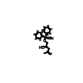 C=C(C)CC(O)CO[Si](c1ccccc1)(c1ccccc1)C(C)(C)C